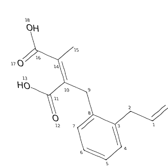 C=CCc1ccccc1C/C(C(=O)O)=C(\C)C(=O)O